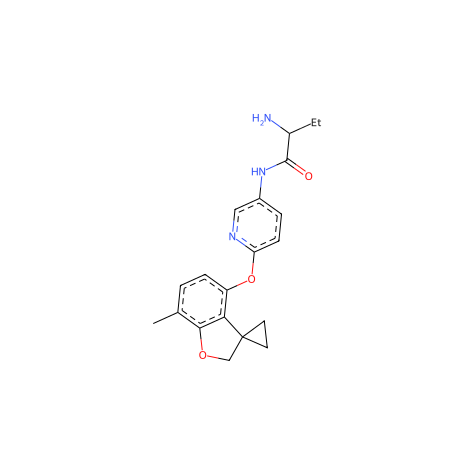 CCC(N)C(=O)Nc1ccc(Oc2ccc(C)c3c2C2(CC2)CO3)nc1